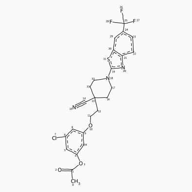 CC(=O)Oc1cc(Cl)cc(OCCC2(C#N)CCN(c3nc4ccc(C(F)(F)F)cc4s3)CC2)c1